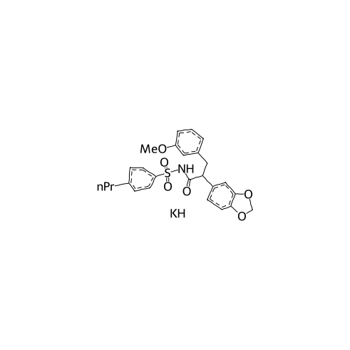 CCCc1ccc(S(=O)(=O)NC(=O)C(Cc2cccc(OC)c2)c2ccc3c(c2)OCO3)cc1.[KH]